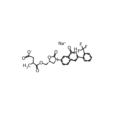 CC(CC(=O)[O-])C(=O)OC[C@@H]1CN(c2ccc3cc(-c4ccccc4C(F)(F)F)[nH]c(=O)c3c2)C(=O)O1.[Na+]